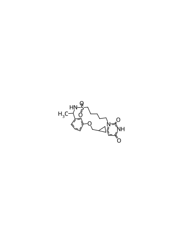 CC(NS(=O)(=O)CCCCCn1ccc(=O)[nH]c1=O)c1cccc(OCC2CC2)c1